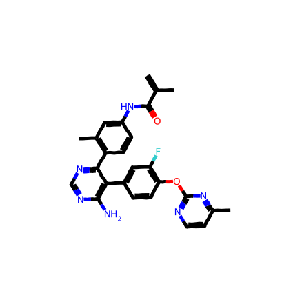 C=C(C)C(=O)Nc1ccc(-c2ncnc(N)c2-c2ccc(Oc3nccc(C)n3)c(F)c2)c(C)c1